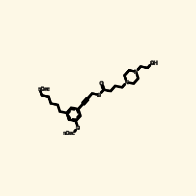 CCCCCCCCCCCCCCCc1cc(C#CCOC(=O)CCCN2CCN(CCO)CC2)cc(OCCCCCCCCCC)c1